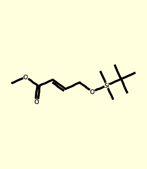 COC(=O)C=CCO[Si](C)(C)C(C)(C)C